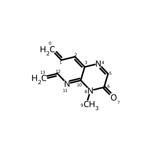 C=C/C=C1/N=CC(=O)N(C)/C1=N/C=C